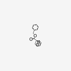 O=C(OCc1ccccc1)N1OC2C=CC1CC2